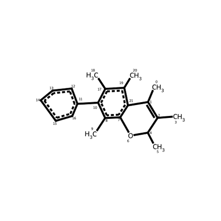 CC1=C(C)C(C)Oc2c(C)c(-c3ccccc3)c(C)c(C)c21